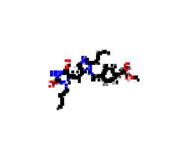 CCCCN1C(=O)NC(=O)/C1=C\c1cnc(CCC)n1Cc1ccc(C(=O)OC)cc1